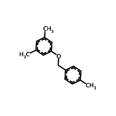 Cc1ccc(COc2cc(C)cc(C)c2)cc1